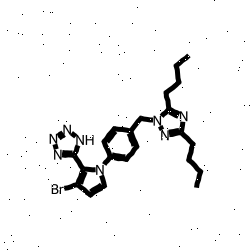 CCCCc1nc(CCCC)n(Cc2ccc(-n3ccc(Br)c3-c3nnn[nH]3)cc2)n1